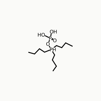 CCCC[PH](CCCC)(CCCC)OP(=O)(O)O